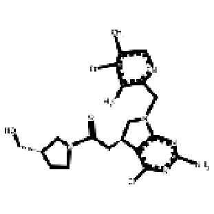 CCc1c(C)cnc(CN2C[C@H](CC(=O)N3CC[C@H](CO)C3)c3c(Cl)nc(N)nc32)c1C